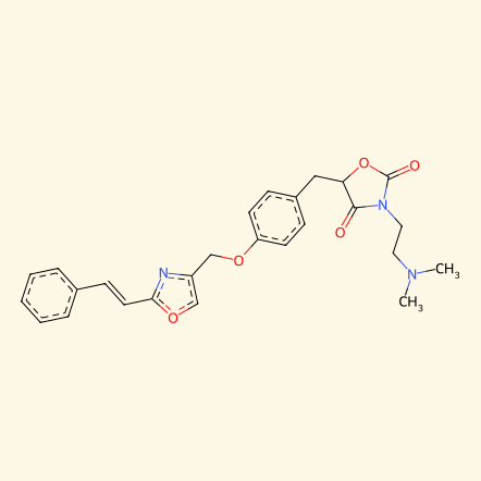 CN(C)CCN1C(=O)OC(Cc2ccc(OCc3coc(C=Cc4ccccc4)n3)cc2)C1=O